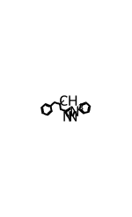 C[C@H](Cc1ccccc1)Cc1cn(-c2ccccc2)nn1